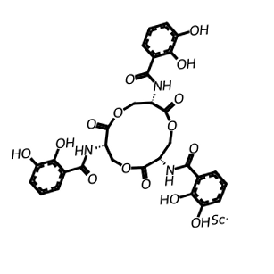 O=C(N[C@H]1COC(=O)[C@@H](NC(=O)c2cccc(O)c2O)COC(=O)[C@@H](NC(=O)c2cccc(O)c2O)COC1=O)c1cccc(O)c1O.[Sc]